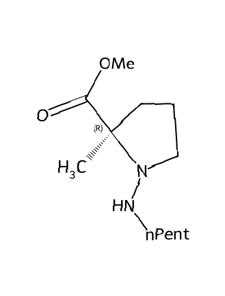 CCCCCNN1CCC[C@]1(C)C(=O)OC